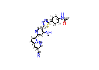 CNc1cc(-c2ccc3cc(C#N)cnn23)ncc1-c1nnc(C2CCC(NC(C)=O)CC2)s1